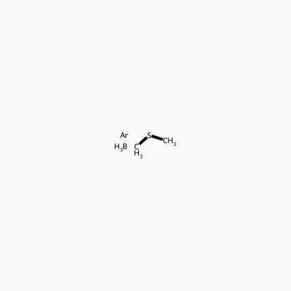 B.CSC.[Ar]